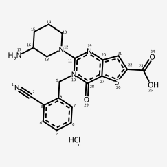 Cl.N#Cc1ccccc1Cn1c(N2CCCC(N)C2)nc2cc(C(=O)O)sc2c1=O